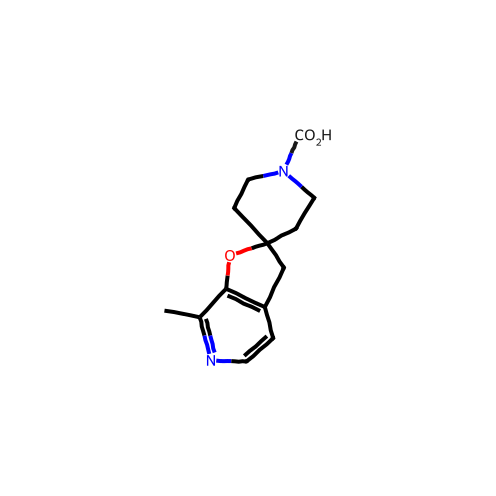 Cc1nccc2c1OC1(CCN(C(=O)O)CC1)C2